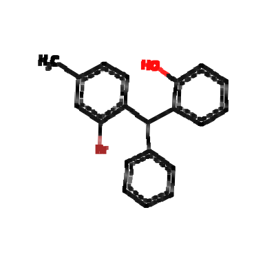 Cc1ccc(C(c2ccccc2)c2ccccc2O)c(Br)c1